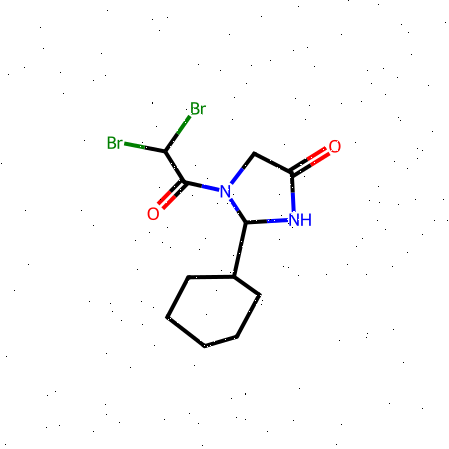 O=C1CN(C(=O)C(Br)Br)C(C2CCCCC2)N1